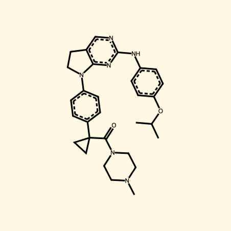 CC(C)Oc1ccc(Nc2ncc3c(n2)N(c2ccc(C4(C(=O)N5CCN(C)CC5)CC4)cc2)CC3)cc1